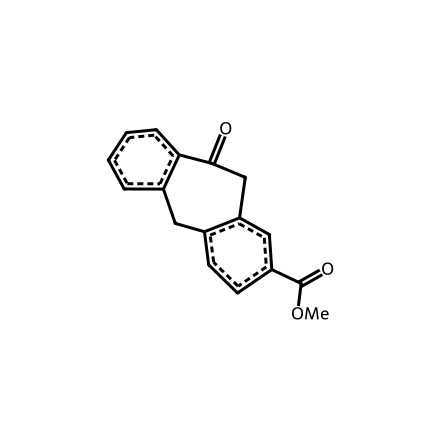 COC(=O)c1ccc2c(c1)CC(=O)c1ccccc1C2